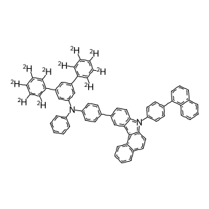 [2H]c1c([2H])c([2H])c(-c2cc(-c3c([2H])c([2H])c([2H])c([2H])c3[2H])cc(N(c3ccccc3)c3ccc(-c4ccc5c(c4)c4c6ccccc6ccc4n5-c4ccc(-c5cccc6ccccc56)cc4)cc3)c2)c([2H])c1[2H]